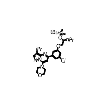 CCCC(COc1cc(Cl)cc(-c2cc(N3CCOCC3)n3ncc(C(C)C)c3n2)c1)O[Si](C)(C)C(C)(C)C